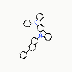 c1ccc(-c2ccc3cc(-n4c5ccccc5c5cc6c7ccccc7n(-c7ccccc7)c6cc54)ccc3c2)cc1